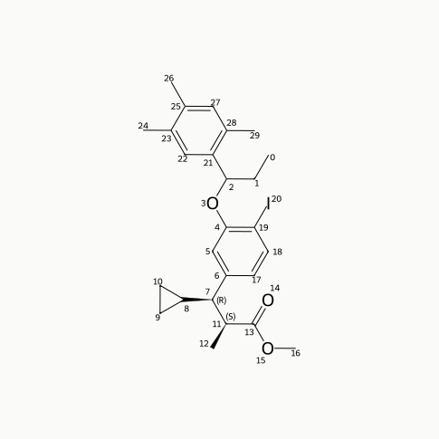 CCC(Oc1cc([C@H](C2CC2)[C@H](C)C(=O)OC)ccc1I)c1cc(C)c(C)cc1C